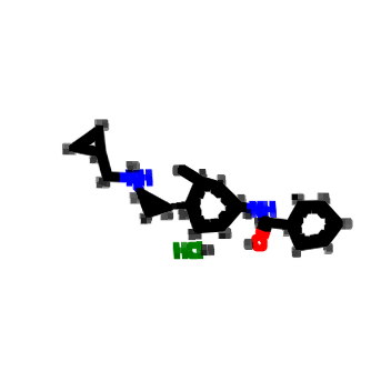 Cc1cc(NC(=O)c2ccccc2)ccc1[C@@H]1C[C@H]1NCC1CC1.Cl